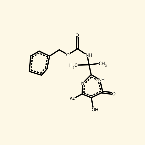 CC(=O)c1nc(C(C)(C)NC(=O)OCc2ccccc2)[nH]c(=O)c1O